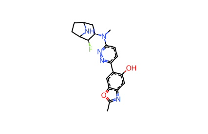 Cc1nc2cc(O)c(-c3ccc(N(C)[C@@H]4CC5CCC(N5)[C@@H]4F)nn3)cc2o1